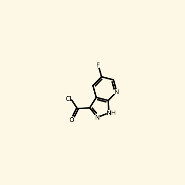 O=C(Cl)c1n[nH]c2ncc(F)cc12